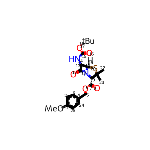 COc1ccc(COC(=O)[C@@H]2N3C(=O)C(NC(=O)OC(C)(C)C)[C@H]3SC2(C)C)cc1